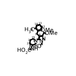 COCn1nc(C(OC)OC)c(Cc2ccccc2C)c1N1CCC[C@@H](NC(=O)O)C1